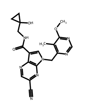 COc1ncnc(Cn2cc(C(=O)NCC3(O)CC3)c3ncc(C#N)nc32)c1C